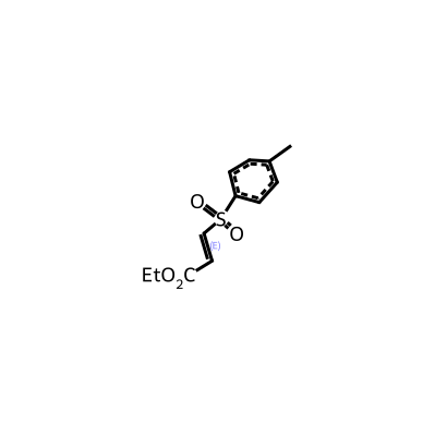 CCOC(=O)/C=C/S(=O)(=O)c1ccc(C)cc1